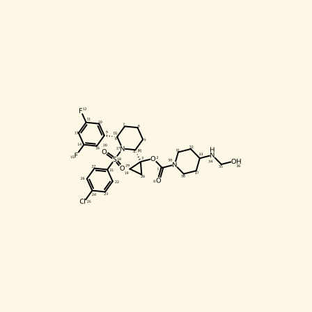 O=C(OC1([C@H]2CCC[C@@H](c3cc(F)cc(F)c3)N2S(=O)(=O)c2ccc(Cl)cc2)CC1)N1CCC(NCO)CC1